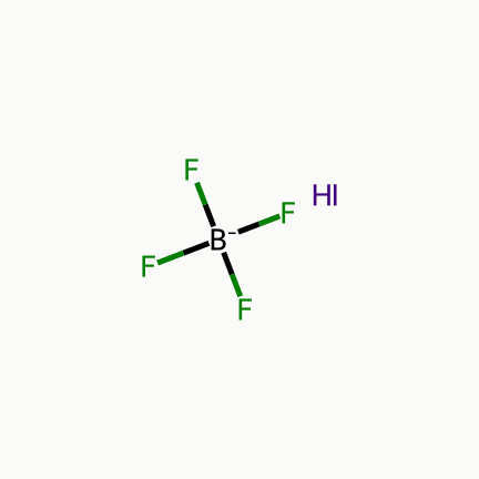 F[B-](F)(F)F.I